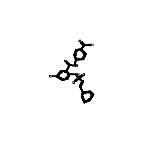 O=C(O)c1ccc(NC(=O)c2cc(Cl)ccc2NS(=O)(=O)C=Cc2ccccc2)cc1